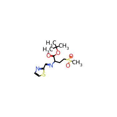 CC(C)(C)OC(=O)C(CCS(C)(=O)=O)N=Cc1nccs1